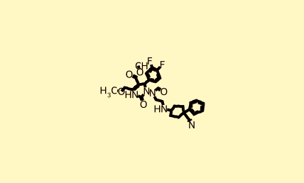 COCC1=C(C(=O)OC)C(c2ccc(F)c(F)c2)N(N(C=O)CCNC2CCC(C#N)(c3ccccc3)CC2)C(=O)N1